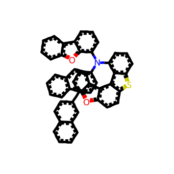 c1ccc2cc(-c3ccc(N(c4cccc5c4oc4ccccc45)c4cccc5sc6ccc7oc8c9ccccc9ccc8c7c6c45)cc3)ccc2c1